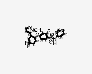 Cn1nccc1C1CC(F)(F)CCC1Oc1ccc(S(=O)(=O)Nc2ccncn2)c(F)c1